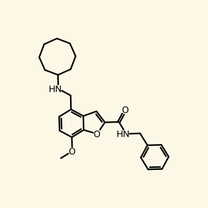 COc1ccc(CNC2CCCCCCC2)c2cc(C(=O)NCc3ccccc3)oc12